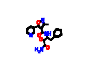 Cc1noc(-c2cccnc2)c1C(=O)NC(Cc1ccccc1)C(=O)C(N)=O